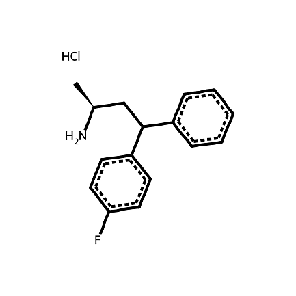 C[C@H](N)CC(c1ccccc1)c1ccc(F)cc1.Cl